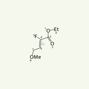 CCOC(=O)/C(F)=C/COC